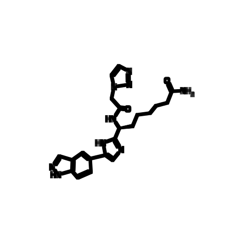 NC(=O)CCCCC[C@H](NC(=O)Cn1ccnn1)c1ncc(-c2ccc3[nH]ncc3c2)[nH]1